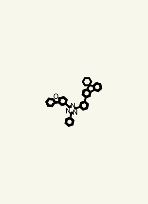 c1ccc(-c2nc(-c3cccc(-c4ccc5c(c4)-c4ccccc4C54CCCCC4)c3)nc(-c3ccc4oc5ccccc5c4c3)n2)cc1